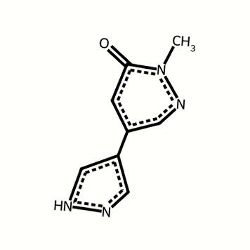 Cn1ncc(-c2cn[nH]c2)cc1=O